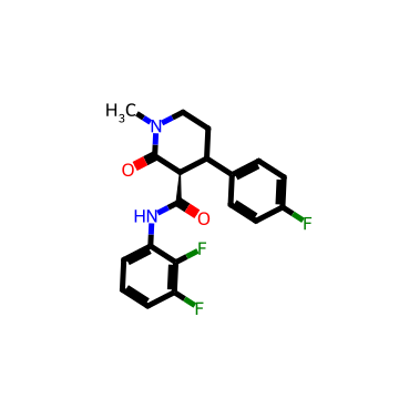 CN1CCC(c2ccc(F)cc2)[C@@H](C(=O)Nc2cccc(F)c2F)C1=O